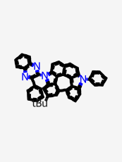 CC(C)(C)c1cc2c3c4c5c(ccc6c5c5c-2cccc5n6-c2ccccc2)ccc4n(-c2nc4ccccc4nc2-c2ccccc2)c3c1